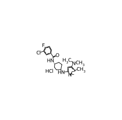 Cc1cnc(N[C@H]2CC[C@@H](NC(=O)c3ccc(F)c(Cl)c3)CC2)cc1N(C)C.Cl